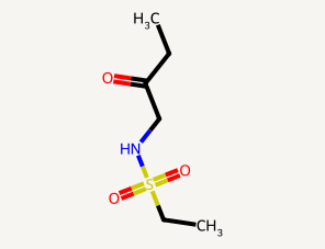 CCC(=O)CNS(=O)(=O)CC